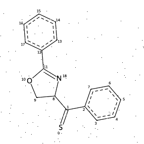 S=C(c1ccccc1)C1COC(c2ccccc2)=N1